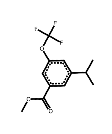 COC(=O)c1cc(OC(F)(F)F)cc(C(C)C)c1